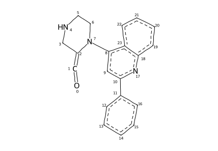 O=C=C1CNCCN1c1cc(-c2ccccc2)nc2ccccc12